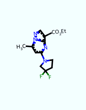 CCOC(=O)c1cnn2c(C)cc(N3CCC(F)(F)C3)nc12